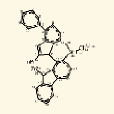 CCCC1=Cc2c(-c3ccccc3)cccc2C1c1c([SiH](C)C)ccc2c1[CH]([Zr+2])c1ccccc1-2.[Cl-].[Cl-]